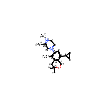 CC(=O)N1CCN(c2cc(C3CC3)c3c(c2C#N)CC(C)(C)OC3)CC1C(C)C